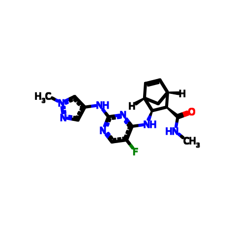 CNC(=O)[C@H]1[C@@H](Nc2nc(Nc3cnn(C)c3)ncc2F)[C@@H]2C=C[C@H]1C2